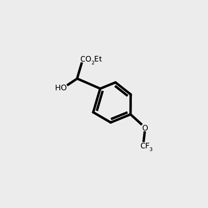 CCOC(=O)C(O)c1ccc(OC(F)(F)F)cc1